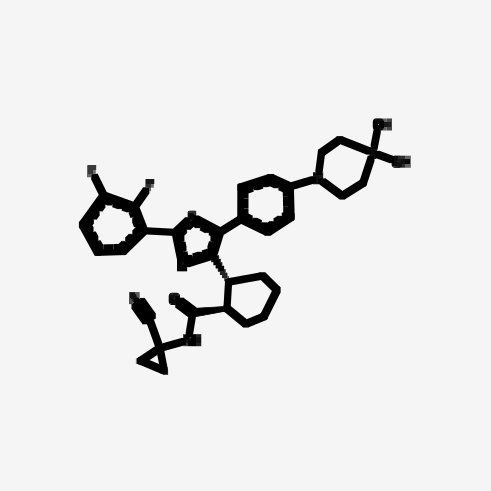 N#CC1(NC(=O)[C@@H]2CCCC[C@H]2c2nc(-c3cccc(F)c3F)sc2-c2ccc(N3CCS(O)(O)CC3)cc2)CC1